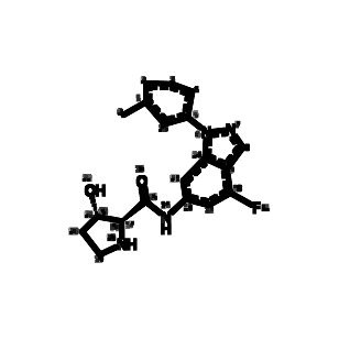 Cc1cccc(-n2ncc3c(F)cc(NC(=O)[C@H]4NCC[C@@H]4O)cc32)c1